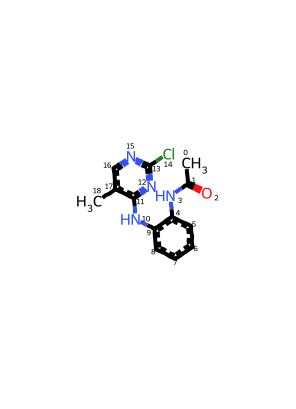 CC(=O)Nc1ccccc1Nc1nc(Cl)ncc1C